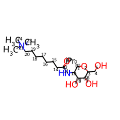 CC(C)[C@@H]1OC(CO)[C@@H](O)[C@H](O)C1NC(=O)CCCCCCC[N+](C)(C)C